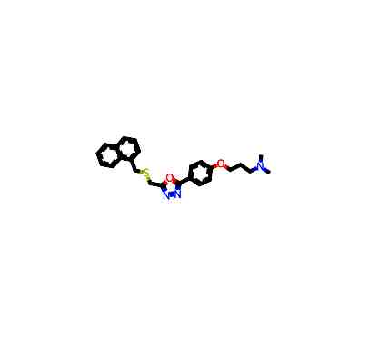 CN(C)CCCOc1ccc(-c2nnc(CSCc3cccc4ccccc34)o2)cc1